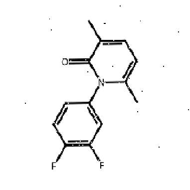 Cc1ccc(C)n(-c2ccc(F)c(F)c2)c1=O